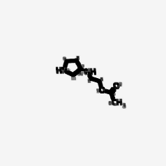 CC(=O)OCCN[C@H]1CCNC1